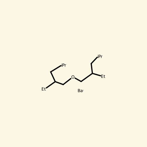 CCC(COCC(CC)CC(C)C)CC(C)C.[Ba]